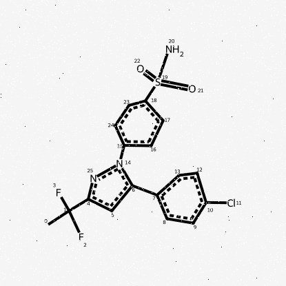 CC(F)(F)c1cc(-c2ccc(Cl)cc2)n(-c2ccc(S(N)(=O)=O)cc2)n1